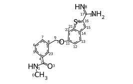 CNC(=O)c1cccc(COc2ccc3cc(C(=N)N)sc3c2)c1